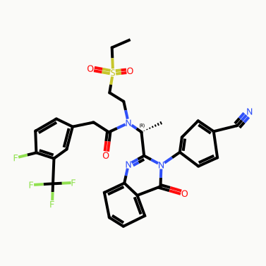 CCS(=O)(=O)CCN(C(=O)Cc1ccc(F)c(C(F)(F)F)c1)[C@H](C)c1nc2ccccc2c(=O)n1-c1ccc(C#N)cc1